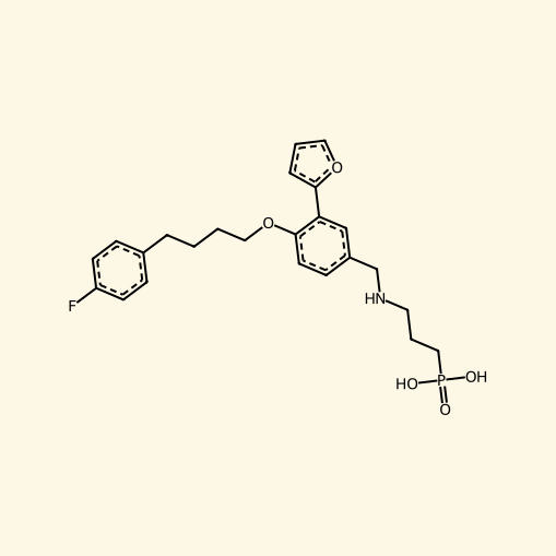 O=P(O)(O)CCCNCc1ccc(OCCCCc2ccc(F)cc2)c(-c2ccco2)c1